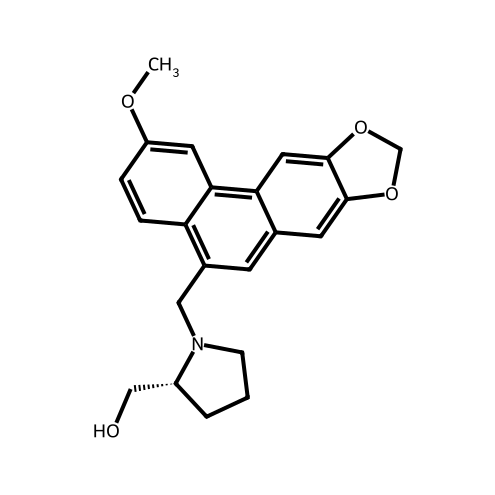 COc1ccc2c(CN3CCC[C@@H]3CO)cc3cc4c(cc3c2c1)OCO4